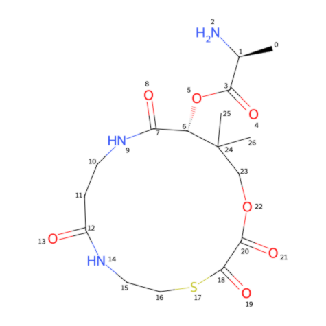 C[C@H](N)C(=O)O[C@H]1C(=O)NCCC(=O)NCCSC(=O)C(=O)OCC1(C)C